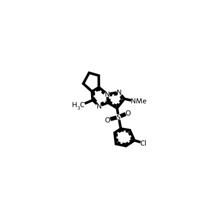 CNc1nn2c3c(c(C)nc2c1S(=O)(=O)c1cccc(Cl)c1)CCC3